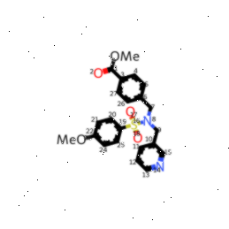 COC(=O)c1ccc(CN(Cc2cccnc2)S(=O)(=O)c2ccc(OC)cc2)cc1